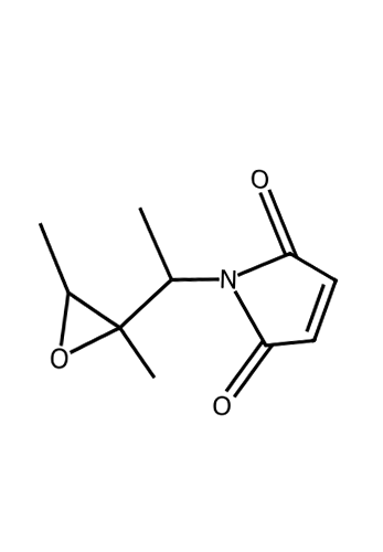 CC1OC1(C)C(C)N1C(=O)C=CC1=O